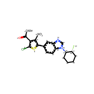 COC(=O)c1c(Cl)sc(-c2ccc3c(c2)ncn3[C@@H]2CCCC[C@H]2F)c1[N+](=O)[O-]